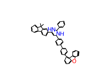 CC1(C)c2ccccc2-c2ccc(C3=CC(c4ccc(-c5ccc(-c6cccc7oc8c#cccc8c67)cc5)cc4)NC(c4ccccc4)N3)cc21